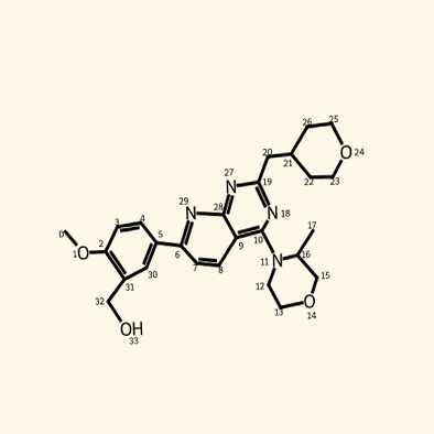 COc1ccc(-c2ccc3c(N4CCOCC4C)nc(CC4CCOCC4)nc3n2)cc1CO